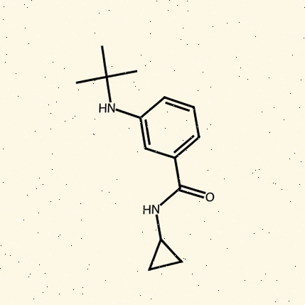 CC(C)(C)Nc1cccc(C(=O)NC2CC2)c1